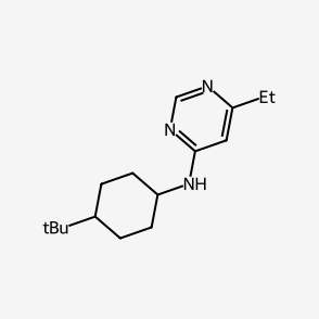 CCc1cc(NC2CCC(C(C)(C)C)CC2)ncn1